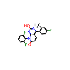 Cc1cc(F)ccc1-c1nc(O)nc2c1ccc(=O)n2-c1c(F)cccc1F